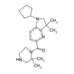 CC1(C)CN(C2CCCC2)c2ccc(C(=O)N3CCNCC3(C)C)nc21